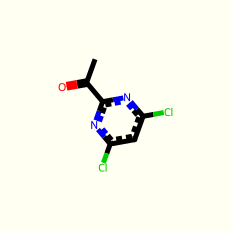 CC(=O)c1nc(Cl)cc(Cl)n1